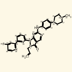 C=CCn1c(=O)c2cnc(Nc3ccc(N4CCN(C)CC4)cc3)nc2n1-c1cccc(-c2cc(F)ccn2)n1